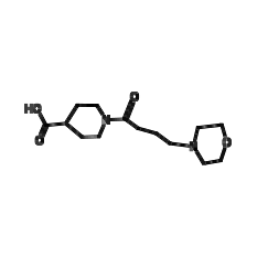 O=C(O)C1CCN(C(=O)CCCN2CCOCC2)CC1